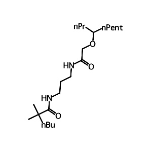 CCCCCC(CCC)OCC(=O)NCCCNC(=O)C(C)(C)CCCC